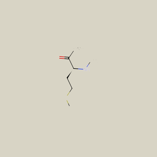 CCSCC[C@H](NC(=O)O)C(=O)OC